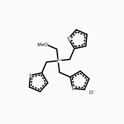 COC[P+](Cc1cccs1)(Cc1cccs1)Cc1cccs1.[Cl-]